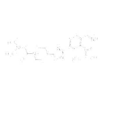 CC(C)Nc1cc(-c2noc(C3CCN(C(=O)CN(C)C)CC3)n2)ccc1C=N